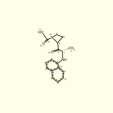 C[C@H](Nc1cccc2ccccc12)C(=O)C1CCN1C(=O)O